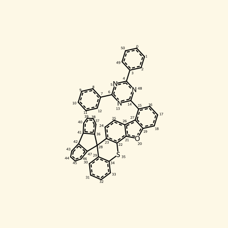 c1ccc(-c2nc(-c3ccccc3)nc(-c3cccc4oc5c6c(ccc5c34)C3(c4ccccc4S6)c4ccccc4-c4ccccc43)n2)cc1